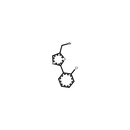 Clc1ccccc1-c1ncc(CBr)s1